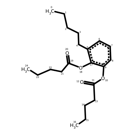 CCCCCc1cccc(OC(=O)CCCC)c1OC(=O)CCCC